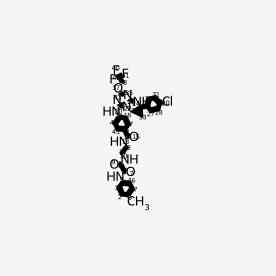 Cc1ccc(NC(=O)C(=O)NCCNC(=O)c2ccc(Nc3nc(NC4(c5ccc(Cl)cc5)CC4)nc(OCC(F)(F)F)n3)cc2)cc1